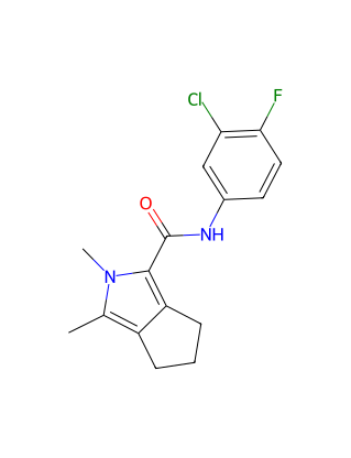 Cc1c2c(c(C(=O)Nc3ccc(F)c(Cl)c3)n1C)CCC2